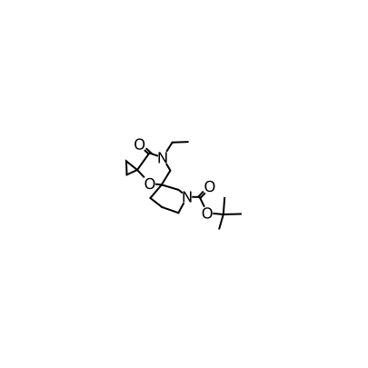 CCN1CC2(CCCN(C(=O)OC(C)(C)C)C2)OC2(CC2)C1=O